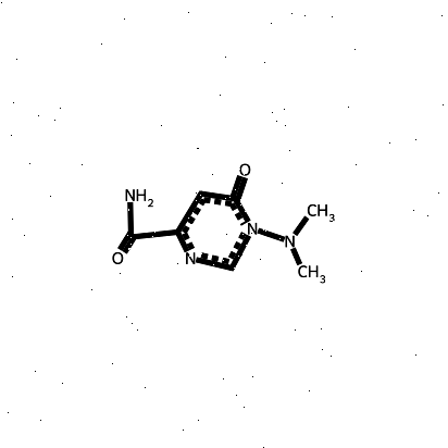 CN(C)n1cnc(C(N)=O)cc1=O